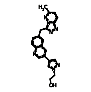 Cc1ccc2nnc(Cc3ccc4ncc(-c5cnn(CCO)c5)cc4c3)n2n1